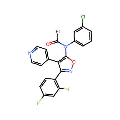 CCC(=O)N(c1cccc(Cl)c1)c1onc(-c2ccc(F)cc2F)c1-c1ccncc1